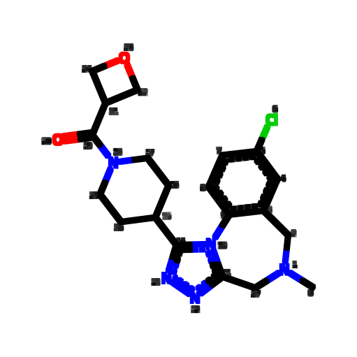 CN1Cc2cc(Cl)ccc2-n2c(nnc2C2CCN(C(=O)C3COC3)CC2)C1